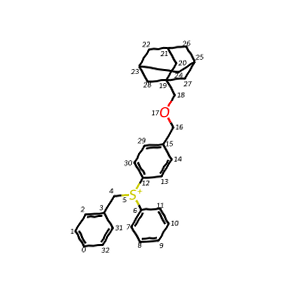 c1ccc(C[S+](c2ccccc2)c2ccc(COCC34CC5CC(CC(C5)C3)C4)cc2)cc1